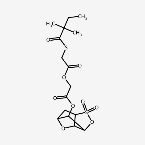 CCC(C)(C)C(=O)SCC(=O)OCC(=O)OC1C2CC3C(O2)C1OS3(=O)=O